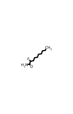 CCCCCCCCC(F)C(N)=O